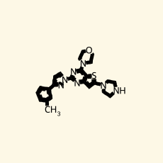 Cc1cccc(-c2ccn(-c3nc(N4CCOCC4)c4sc(N5CCNCC5)cc4n3)n2)c1